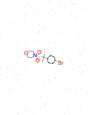 CC(C)(c1ccc(Br)cc1)S(=O)(=O)N1CCOCC1